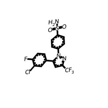 NS(=O)(=O)c1ccc(-n2nc(C(F)(F)F)cc2-c2ccc(F)c(Cl)c2)cc1